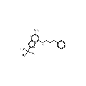 Cc1cc(NCCCc2ccccc2)n2nc(C(C)(C)C)cc2n1